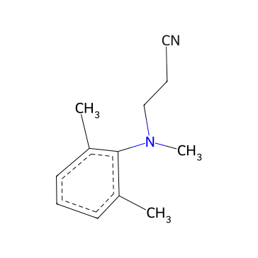 Cc1cccc(C)c1N(C)CCC#N